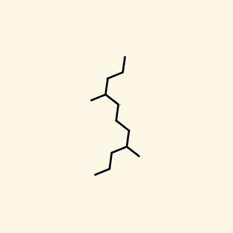 CCCC(C)[CH]CCC(C)CCC